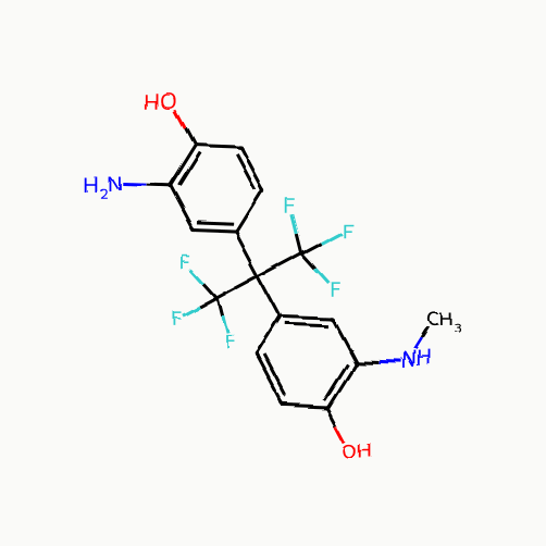 CNc1cc(C(c2ccc(O)c(N)c2)(C(F)(F)F)C(F)(F)F)ccc1O